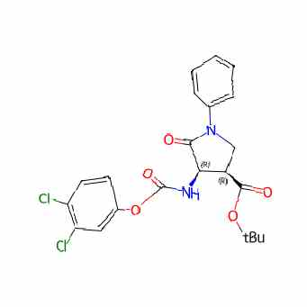 CC(C)(C)OC(=O)[C@@H]1CN(c2ccccc2)C(=O)[C@@H]1NC(=O)Oc1ccc(Cl)c(Cl)c1